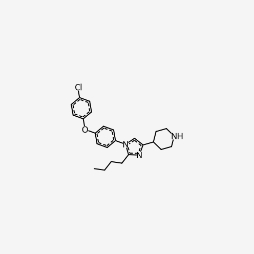 CCCCc1nc(C2CCNCC2)cn1-c1ccc(Oc2ccc(Cl)cc2)cc1